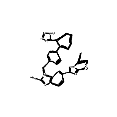 CCCCc1nc2ccc(-c3cn4c(C)csc4n3)cc2n1Cc1ccc(-c2ccccc2-c2nnn[nH]2)cc1